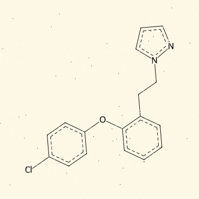 Clc1ccc(Oc2c[c]ccc2CCn2cccn2)cc1